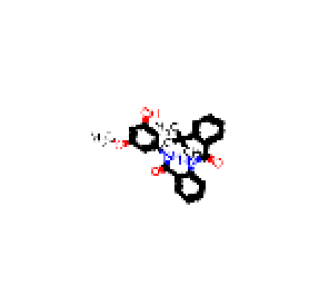 COc1cc(O)cc(NC(=O)c2ccccc2NC(=O)c2ccccc2C(C)(C)C)c1